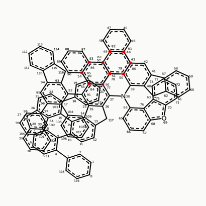 c1ccc(-c2ccccc2-c2ccc3c(c2-c2c(-c4ccccc4)ccc4oc5ccccc5c24)-c2c(c(N(c4c5c(cc(-c6ccccc6)c4-c4ccccc4)-c4ccccc4C5)c4cccc5oc6ccccc6c45)c(-c4ccccc4)c(-c4ccccc4)c2-c2c4c(cc(-c5ccccc5)c2-c2ccccc2)-c2ccccc2C4)C3)cc1